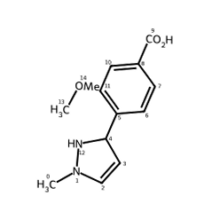 CN1C=CC(c2ccc(C(=O)O)cc2)N1.COC